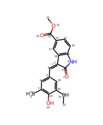 Bc1cc(/C=C2\C(=O)Nc3ccc(C(=O)OC)cc32)cc(BC)c1O